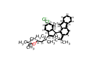 CC(C)=c1ccc2c(c1C1C=C([Si](C)(C)CCO[Si](C)(C)C)c3ccccc31)[C]([Zr+2])=c1ccccc1=2.[Cl-].[Cl-]